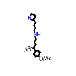 CCC/C(=C\CCCNCCCCc1cccnc1)c1ccc(OC)cc1